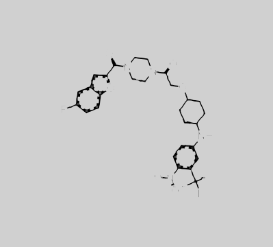 O=C(COC1CCC(Nc2ccc([N+](=O)[O-])c(C(F)(F)F)c2)CC1)N1CCN(C(=O)c2cc3cc(F)ccc3o2)CC1